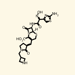 Nc1nc(C(=NO)C(=O)N[C@@H]2C(=O)N3C(C(=O)O)=C(C=C4CCN(CC5CNC5)C4=O)CS[C@H]23)cs1